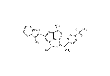 Cc1c(-c2cc(C(O)O)c3c(O[C@@H](C)c4ccc(S(=O)(=O)C(F)(F)F)cc4)ccc(C)c3n2)oc2ccccc12